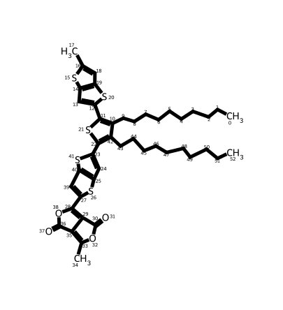 CCCCCCCCCCc1c(-c2cc3sc(C)cc3s2)sc(-c2cc3sc(C4=C5C(=O)OC(C)=C5C(=O)O4)cc3s2)c1CCCCCCCCCC